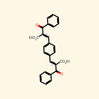 CCOC(=O)/C(=C\c1ccc(/C=C(\C(=O)OCC)C(=O)c2ccccc2)cc1)C(=O)c1ccccc1